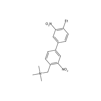 CCc1ccc(-c2ccc(C[N+](C)(C)C)c([N+](=O)[O-])c2)cc1[N+](=O)[O-]